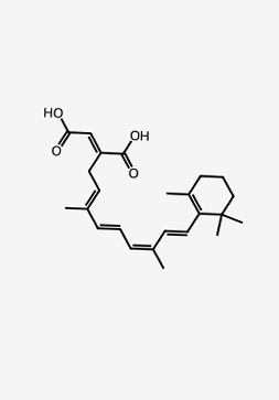 CC(C=C/C=C(/C)C=CC1=C(C)CCCC1(C)C)=CC/C(=C\C(=O)O)C(=O)O